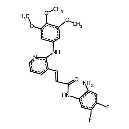 COc1cc(Nc2ncccc2/C=C/C(=O)Nc2cc(F)c(F)cc2N)cc(OC)c1OC